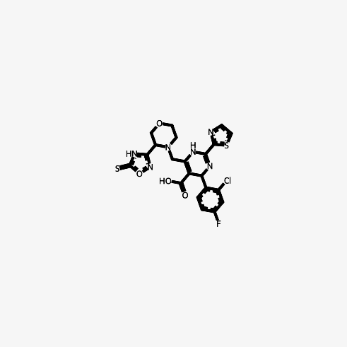 O=C(O)C1=C(CN2CCOCC2c2noc(=S)[nH]2)NC(c2nccs2)=NC1c1ccc(F)cc1Cl